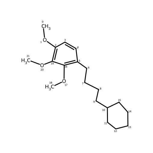 COc1c[c]c(CCCCC2CCCCC2)c(OC)c1OC